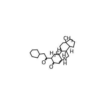 C[C@@]12CCC[C@H]1[C@@H]1CNC3=CC(=O)C(C(=O)CC4CCCCC4)C[C@]3(C)[C@H]1CC2